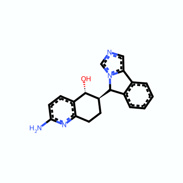 Nc1ccc2c(n1)CC[C@H](C1c3ccccc3-c3cncn31)[C@H]2O